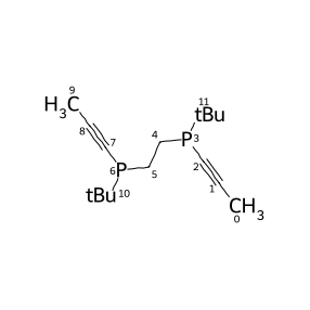 CC#CP(CCP(C#CC)C(C)(C)C)C(C)(C)C